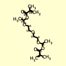 C=C(C)C(=O)OC(C)OCCOCCOC(C)OC(=O)C(=C)C